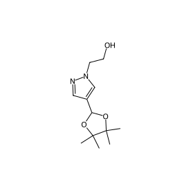 CC1(C)OC(c2cnn(CCO)c2)OC1(C)C